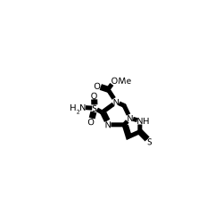 COC(=O)N1Cn2[nH]c(=S)cc2N=C1S(N)(=O)=O